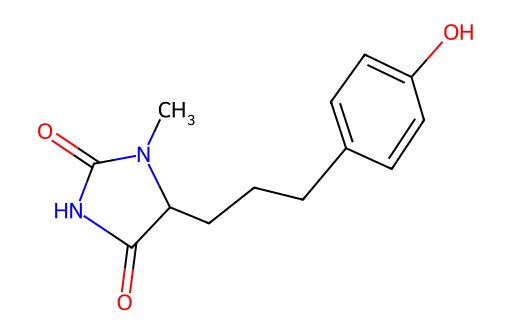 CN1C(=O)NC(=O)C1CCCc1ccc(O)cc1